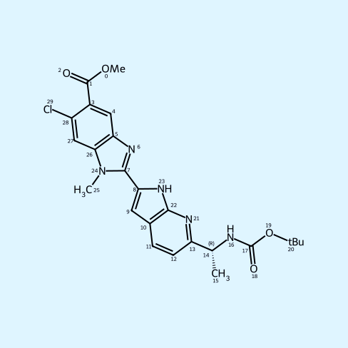 COC(=O)c1cc2nc(-c3cc4ccc([C@@H](C)NC(=O)OC(C)(C)C)nc4[nH]3)n(C)c2cc1Cl